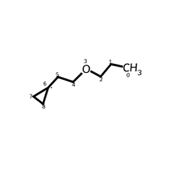 CCCOCC[C]1CC1